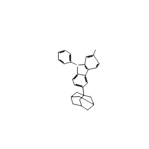 Cc1ccc2c3cc(C45CC6CC(CC(C6)C4)C5)ccc3n(-c3ccccc3)c2c1